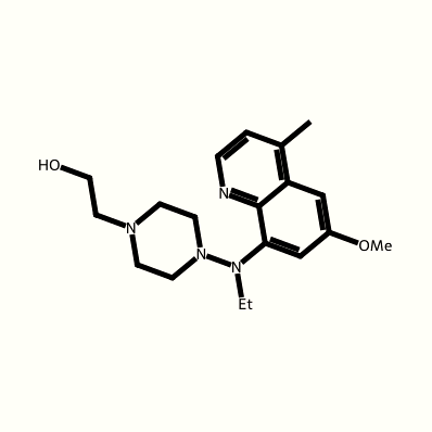 CCN(c1cc(OC)cc2c(C)ccnc12)N1CCN(CCO)CC1